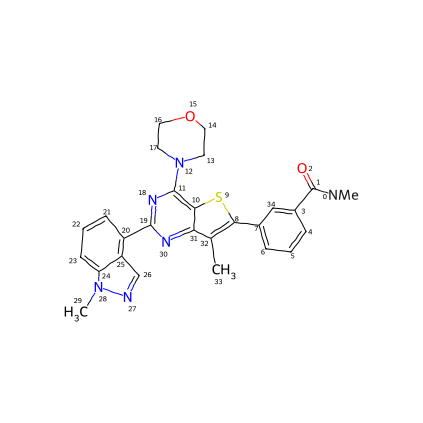 CNC(=O)c1cccc(-c2sc3c(N4CCOCC4)nc(-c4cccc5c4cnn5C)nc3c2C)c1